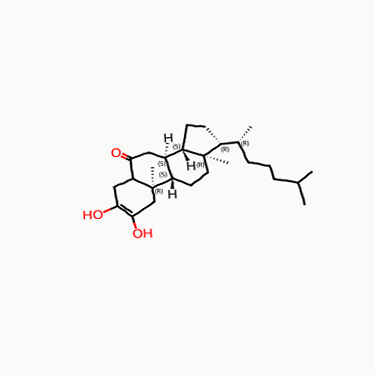 CC(C)CCC[C@@H](C)[C@H]1CC[C@H]2[C@@H]3CC(=O)C4CC(O)=C(O)C[C@]4(C)[C@H]3CC[C@]12C